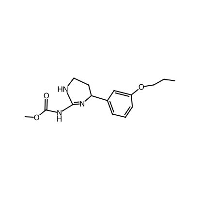 CCCOc1cccc(C2CCNC(NC(=O)OC)=N2)c1